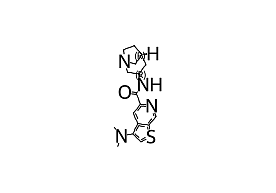 CN(C)c1csc2cnc(C(=O)N[C@@H]3C[C@H]4CCN(C4)C3)cc12